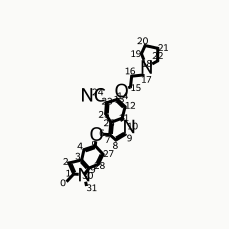 Cc1cc2cc(Oc3ccnc4cc(OCCCN5CCCC5)c(C#N)cc34)ccc2n1C